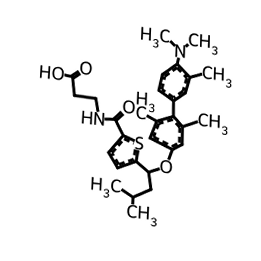 Cc1cc(-c2c(C)cc(OC(CC(C)C)c3ccc(C(=O)NCCC(=O)O)s3)cc2C)ccc1N(C)C